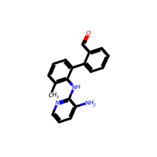 Cc1cccc(-c2ccccc2C=O)c1Nc1ncccc1N